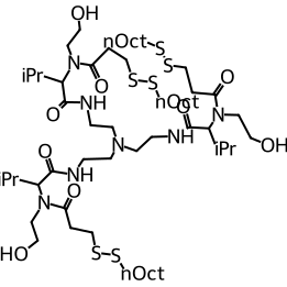 CCCCCCCCSSCCC(=O)N(CCO)C(C(=O)NCCN(CCNC(=O)C(C(C)C)N(CCO)C(=O)CCSSCCCCCCCC)CCNC(=O)C(C(C)C)N(CCO)C(=O)CCSSCCCCCCCC)C(C)C